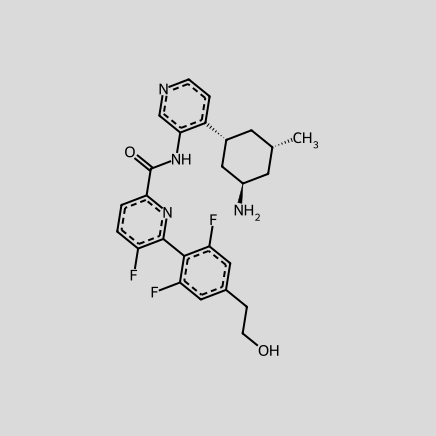 C[C@@H]1C[C@@H](N)C[C@H](c2ccncc2NC(=O)c2ccc(F)c(-c3c(F)cc(CCO)cc3F)n2)C1